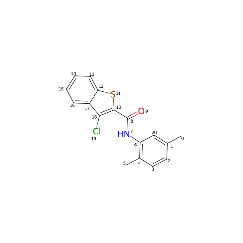 Cc1ccc(C)c(NC(=O)c2sc3ccccc3c2Cl)c1